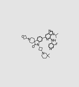 CC(C)n1cnc2cc(-c3ccc4c(c3)N([C@H]3C[C@@H](N5CCCC(C)(C)C5)C3)C(=O)C43CCN(C4COC4)CC3)nc(Nc3ccncc3F)c21